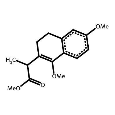 COC(=O)C(C)C1=C(OC)c2ccc(OC)cc2CC1